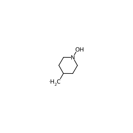 [CH2]C1CCN(O)CC1